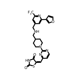 O=C1NC(=O)/C(=C\c2ccnc(N3CCC(CNCc4cc(-c5ccoc5)nc(C(F)(F)F)c4)CC3)n2)S1